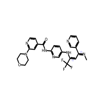 C/N=C(\C=C(/Nc1ccc(NC(=O)c2ccnc(N3CCOCC3)c2)nc1)C(F)(F)F)c1cccnc1